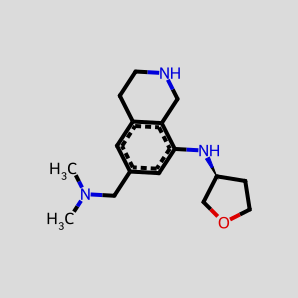 CN(C)Cc1cc2c(c(N[C@H]3CCOC3)c1)CNCC2